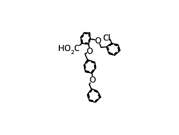 O=C(O)c1cccc(OCc2ccccc2Cl)c1OCc1ccc(OCc2ccccc2)cc1